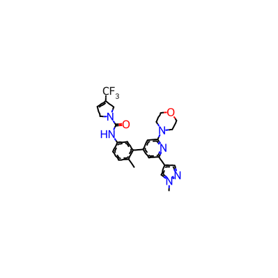 Cc1ccc(NC(=O)N2CC=C(C(F)(F)F)C2)cc1-c1cc(-c2cnn(C)c2)nc(N2CCOCC2)c1